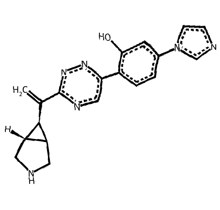 C=C(c1ncc(-c2ccc(-n3ccnc3)cc2O)nn1)[C@H]1C2CNC[C@@H]21